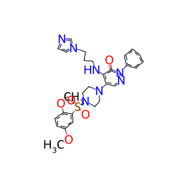 COc1ccc(OC)c(S(=O)(=O)N2CCN(c3cnn(-c4ccccc4)c(=O)c3NCCCn3ccnc3)CC2)c1